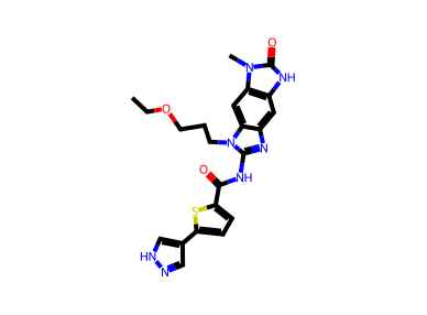 CCOCCCn1c(NC(=O)c2ccc(-c3cn[nH]c3)s2)nc2cc3[nH]c(=O)n(C)c3cc21